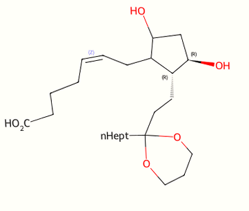 CCCCCCCC1(CC[C@@H]2C(C/C=C\CCCC(=O)O)C(O)C[C@H]2O)OCCCO1